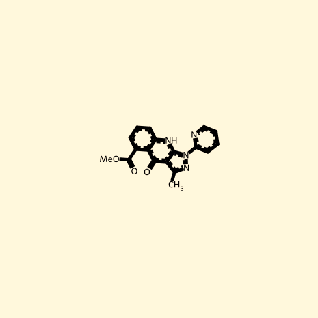 COC(=O)c1cccc2[nH]c3c(c(C)nn3-c3ccccn3)c(=O)c12